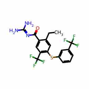 CCc1cc(Sc2cccc(C(F)(F)F)c2)c(C(F)(F)F)cc1C(=O)N=C(N)N